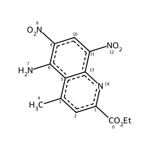 CCOC(=O)c1cc(C)c2c(N)c([N+](=O)[O-])cc([N+](=O)[O-])c2n1